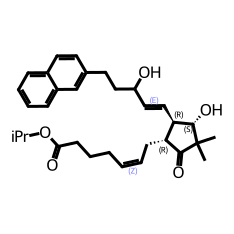 CC(C)OC(=O)CCC/C=C\C[C@H]1C(=O)C(C)(C)[C@@H](O)[C@@H]1/C=C/C(O)CCc1ccc2ccccc2c1